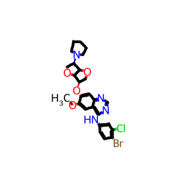 COc1cc2c(Nc3ccc(Br)c(Cl)c3)ncnc2cc1O[C@@H]1COC2C1OC[C@H]2N1CCCCC1